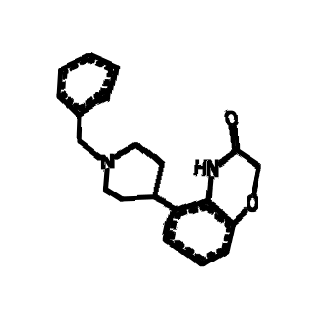 O=C1COc2cccc(C3CCN(Cc4ccccc4)CC3)c2N1